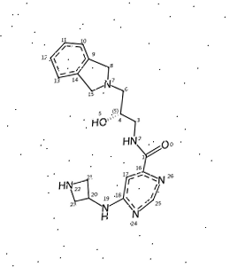 O=C(NC[C@H](O)CN1Cc2ccccc2C1)c1cc(NC2CNC2)ncn1